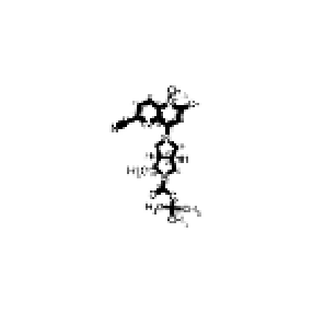 C[C@@H]1[C@H]2CN(c3cc(=O)n(C)c4ccc(C#N)nc34)C[C@H]2CN1C(=O)OC(C)(C)C